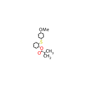 C=C(C)C(=O)Oc1ccccc1Sc1ccc(OC)cc1